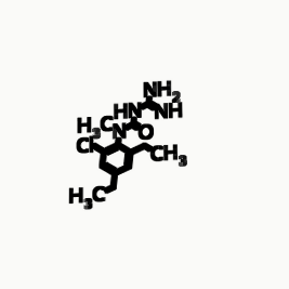 CCc1cc(Cl)c(N(C)C(=O)NC(=N)N)c(CC)c1